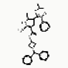 CC1=C(C(=O)OC(C)C)[C@H](c2ccccc2[N+](=O)[O-])C(C(=O)OC2CN(C(c3ccccc3)c3ccccc3)C2)=C(N)N1